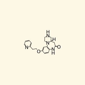 O=C1C[C@H]2CNCCN2c2cc(OCCc3ccccn3)ccc2N1